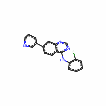 Fc1ccccc1Nc1ncnc2cc(-c3cccnc3)ccc12